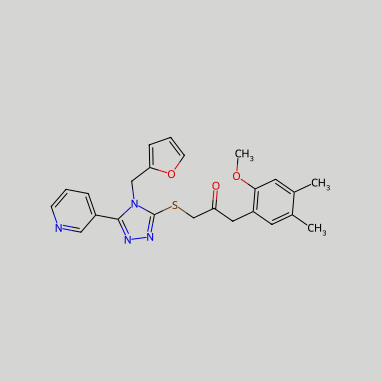 COc1cc(C)c(C)cc1CC(=O)CSc1nnc(-c2cccnc2)n1Cc1ccco1